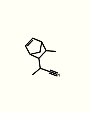 CC(C#N)C1C2C=CC(C2)C1C